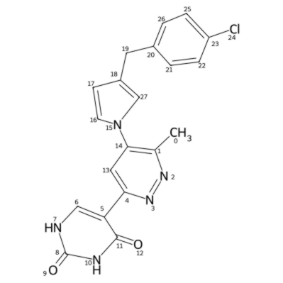 Cc1nnc(-c2c[nH]c(=O)[nH]c2=O)cc1-n1ccc(Cc2ccc(Cl)cc2)c1